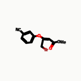 COC(=O)C=C(CBr)Oc1cccc(C#N)c1